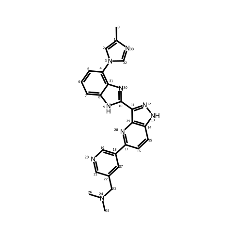 Cc1cn(-c2cccc3[nH]c(-c4n[nH]c5ccc(-c6cncc(CN(C)C)c6)nc45)nc23)cn1